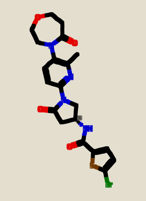 Cc1nc(N2C[C@H](NC(=O)c3ccc(Br)s3)CC2=O)ccc1N1CCOCCC1=O